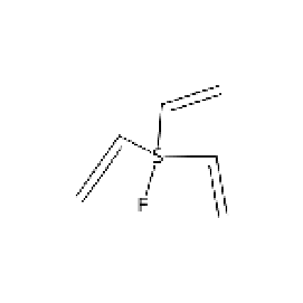 C=CS(F)(C=C)C=C